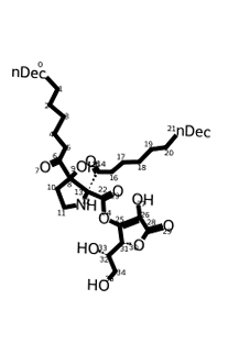 CCCCCCCCCCCCCCCC(=O)C1(O)CCN[C@]1(C(=O)CCCCCCCCCCCCCCC)C(=O)OC1=C(O)C(=O)O[C@@H]1[C@@H](O)CO